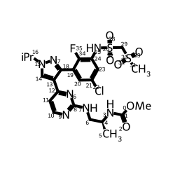 COC(=O)N[C@@H](C)CNc1nccc(-c2cn(C(C)C)nc2-c2cc(Cl)cc(NS(=O)(=O)CS(C)(=O)=O)c2F)n1